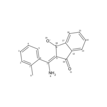 Cc1ccccc1C(N)=C1C(=O)c2ccccc2[S+]1[O-]